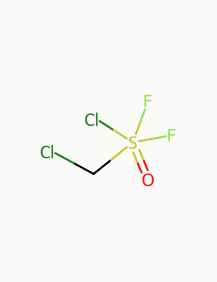 O=S(F)(F)(Cl)CCl